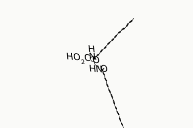 CC#CC#CC#CC#CC#CC#CC#CC#CC#CC#CC(=O)NCCCC[C@H](NC(=O)C#CC#CC#CC#CC#CC#CC#CC#CC#CC#CC)C(=O)O